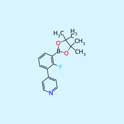 CC1(C)OB(c2cccc(-c3ccncc3)c2F)OC1(C)C